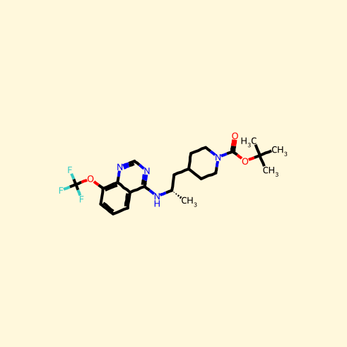 C[C@@H](CC1CCN(C(=O)OC(C)(C)C)CC1)Nc1ncnc2c(OC(F)(F)F)cccc12